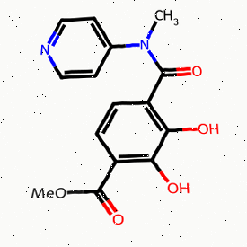 COC(=O)c1ccc(C(=O)N(C)c2ccncc2)c(O)c1O